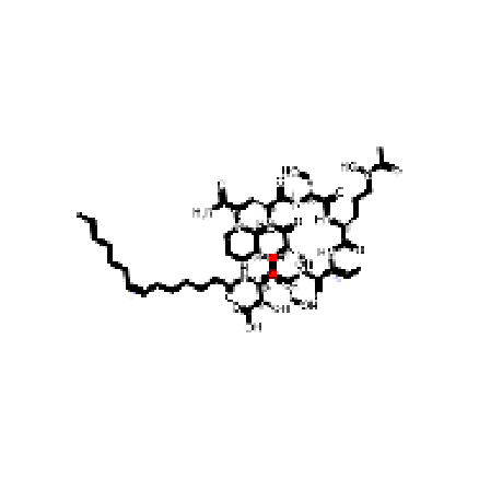 C/C=C(\NC(=O)[C@H](CCCN(O)C(C)=O)NC(=O)[C@@H](CO)NC(=O)[C@H](CCC(N)=O)NC(=O)[C@H](CO)NC(=O)[C@H](NC(=O)CCCCC/C=C\CCCCCC)[C@@H](O)C(=O)O)C(=O)N[C@H](CO)C(=O)N[C@@H]1CCCN(O)C1=O